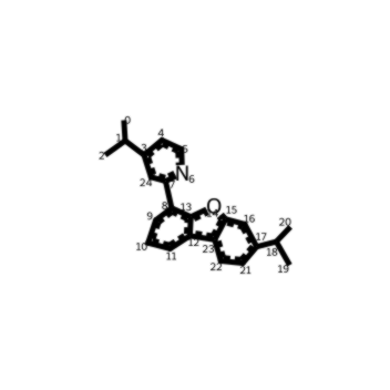 CC(C)c1ccnc(-c2cccc3c2oc2cc(C(C)C)ccc23)c1